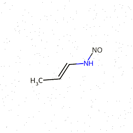 CC=CNN=O